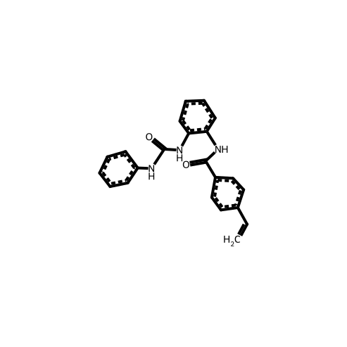 C=Cc1ccc(C(=O)Nc2ccccc2NC(=O)Nc2ccccc2)cc1